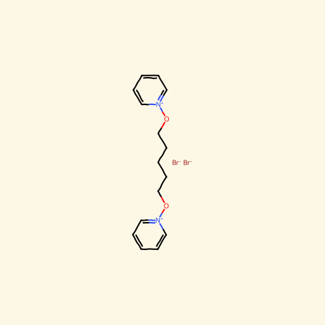 [Br-].[Br-].c1cc[n+](OCCCCCO[n+]2ccccc2)cc1